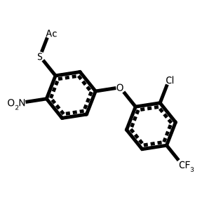 CC(=O)Sc1cc(Oc2ccc(C(F)(F)F)cc2Cl)ccc1[N+](=O)[O-]